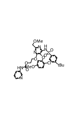 COCc1nc(NS(=O)(=O)c2ccc(C(C)(C)C)cc2)c(Oc2cc(OC)ccc2Cl)c(OCCOC(=O)Nc2cccnc2)n1